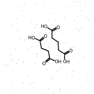 O=C(O)CCC(=O)O.O=C(O)CCCC(=O)O